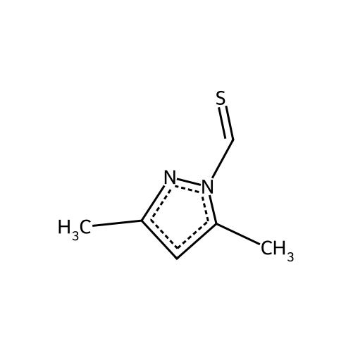 Cc1cc(C)n(C=S)n1